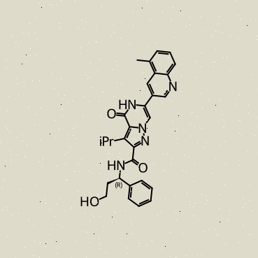 Cc1cccc2ncc(-c3cn4nc(C(=O)N[C@H](CCO)c5ccccc5)c(C(C)C)c4c(=O)[nH]3)cc12